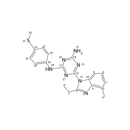 CCc1nc2c(C)cccc2n1-c1nc(N)nc(Nc2ccc(SC)cc2)n1